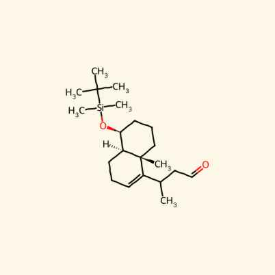 CC(CC=O)C1=CCC[C@H]2[C@@H](O[Si](C)(C)C(C)(C)C)CCC[C@]12C